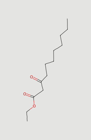 CCCCCCCCC(=O)CC(=O)OCC